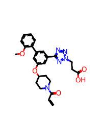 C=CC(=O)N1CCC(Oc2cc(-c3nnn(CCC(=O)O)n3)cc(-c3ccccc3OC)c2)CC1